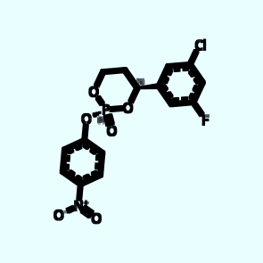 O=[N+]([O-])c1ccc(O[P@]2(=O)OCC[C@@H](c3cc(F)cc(Cl)c3)O2)cc1